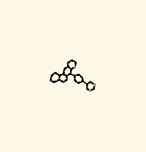 c1cnc2c(-c3ccc(-c4cncnc4)cc3)c3ccc4ccccc4c3cc2c1